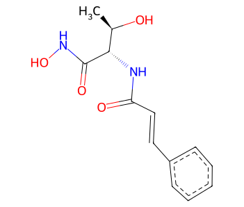 C[C@@H](O)[C@H](NC(=O)/C=C/c1ccccc1)C(=O)NO